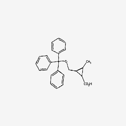 CC1C(COC(c2ccccc2)(c2ccccc2)c2ccccc2)C1C(=O)O